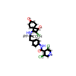 CC(C)[C@](Cc1ccc(NC(=O)c2c(Cl)cncc2Cl)cc1)(NC1=C(Br)C(=O)C12CCC(=O)CC2)C(=O)O